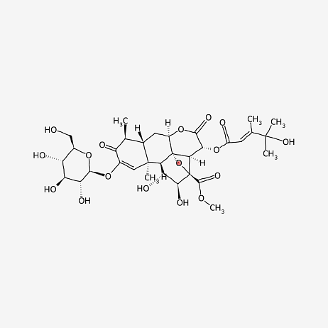 COC(=O)[C@]12OC[C@]34[C@H]([C@@H](O)[C@@H]1O)[C@@]1(C)C=C(O[C@@H]5O[C@H](CO)[C@@H](O)[C@H](O)[C@H]5O)C(=O)[C@@H](C)[C@@H]1C[C@H]3OC(=O)[C@H](OC(=O)/C=C(\C)C(C)(C)O)[C@@H]24